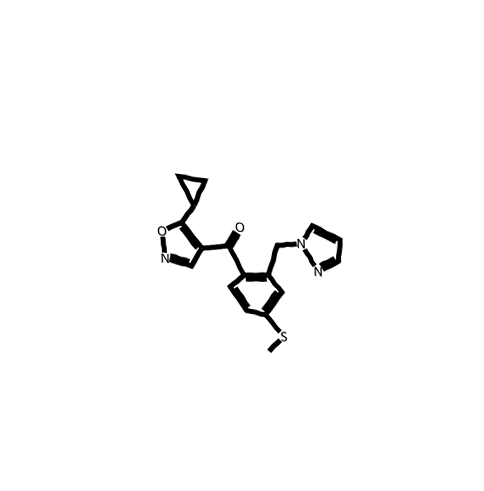 CSc1ccc(C(=O)c2cnoc2C2CC2)c(Cn2cccn2)c1